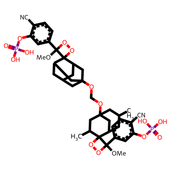 COC1(c2ccc(C#N)c(OP(=O)(O)O)c2)OOC12C(C)CC1(OCOC34CC5CC(C3)C3(OOC3(OC)c3ccc(C#N)c(OP(=O)(O)O)c3)C(C5)C4)CC(C)CC2C1